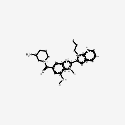 CCCn1c(-c2nc3cc(C(=O)N4CCCC(N)C4)cc(OC)c3n2C)cc2cccnc21